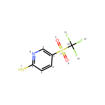 O=S(=O)(c1ccc(S)nc1)C(F)(F)F